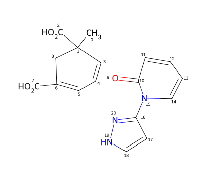 CC1(C(=O)O)C=CC=C(C(=O)O)C1.O=c1ccccn1-c1cc[nH]n1